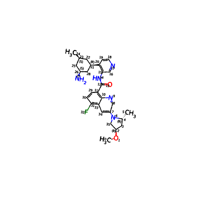 CO[C@@H]1C[C@@H](C)N(c2cnc3c(C(=O)Nc4cnccc4[C@@H]4C[C@H](C)C[C@H](N)C4)ccc(F)c3c2)C1